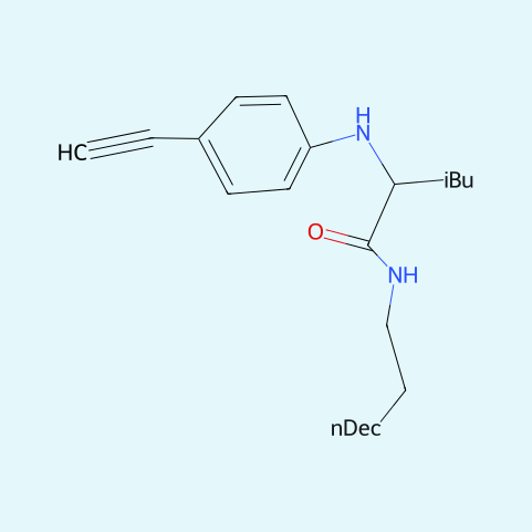 C#Cc1ccc(NC(C(=O)NCCCCCCCCCCCC)C(C)CC)cc1